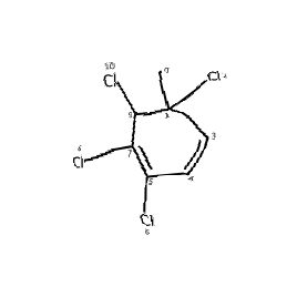 CC1(Cl)C=CC(Cl)=C(Cl)C1Cl